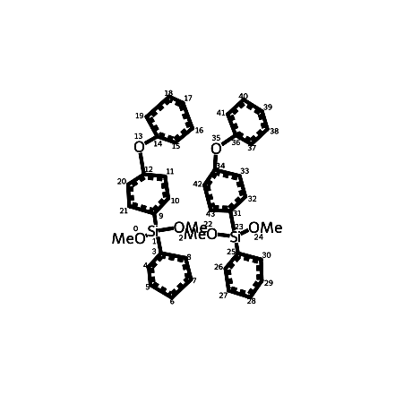 CO[Si](OC)(c1ccccc1)c1ccc(Oc2ccccc2)cc1.CO[Si](OC)(c1ccccc1)c1ccc(Oc2ccccc2)cc1